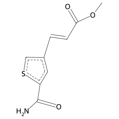 COC(=O)/C=C/c1csc(C(N)=O)c1